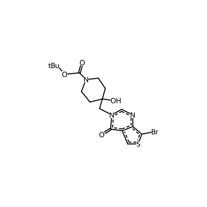 CC(C)(C)OC(=O)N1CCC(O)(Cn2cnc3c(Br)scc3c2=O)CC1